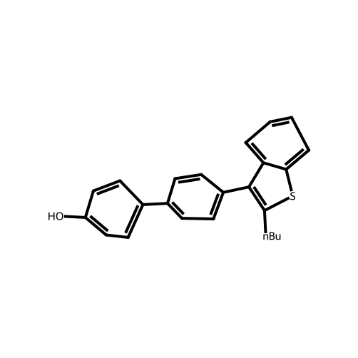 CCCCc1sc2ccccc2c1-c1ccc(-c2ccc(O)cc2)cc1